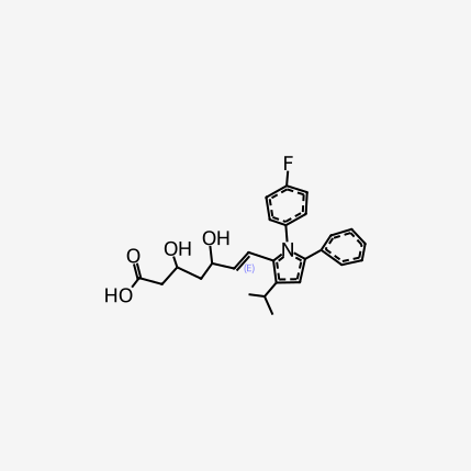 CC(C)c1cc(-c2ccccc2)n(-c2ccc(F)cc2)c1/C=C/C(O)CC(O)CC(=O)O